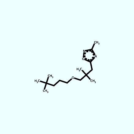 Cc1noc(CC(C)(C)COCCCC(C)(C)C)n1